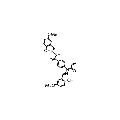 C=CC(=O)N(N=Cc1cc(OC)ccc1O)c1ccc(C(=O)NN=Cc2cc(OC)ccc2O)cc1